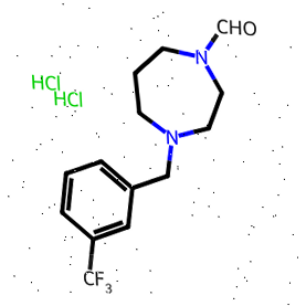 Cl.Cl.O=CN1CCCN(Cc2cccc(C(F)(F)F)c2)CC1